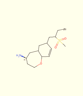 CC(C)CC(CC1C=CC2OCC[C@@H](N)CC2C1)S(C)(=O)=O